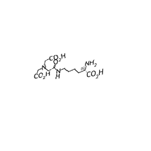 N[C@@H](CCCCNC(=O)CN(CC(=O)O)CC(=O)O)C(=O)O